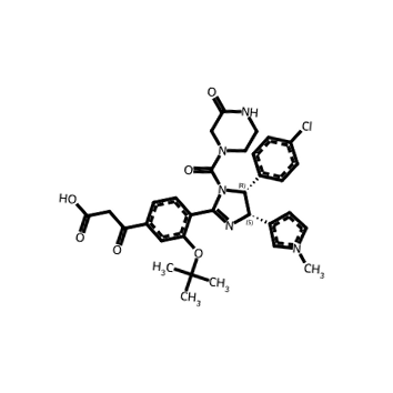 Cn1ccc([C@@H]2N=C(c3ccc(C(=O)CC(=O)O)cc3OC(C)(C)C)N(C(=O)N3CCNC(=O)C3)[C@@H]2c2ccc(Cl)cc2)c1